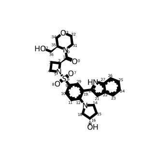 O=C([C@@H]1CCN1S(=O)(=O)c1ccc(N2CC[C@H](O)C2)c(-c2cc3ccccc3[nH]2)c1)N1CCOC[C@@H]1CO